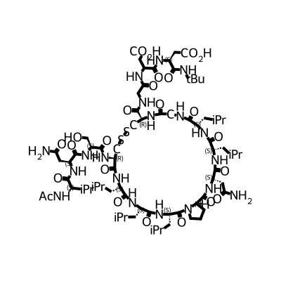 CC(=O)N[C@H](C(=O)N[C@@H](CC(N)=O)C(=O)N[C@@H](CO)C(=O)N[C@H]1CSSC[C@@H](C(=O)NCC(=O)NC(CC(=O)O)C(=O)N[C@@H](CC(=O)O)C(=O)NC(C)(C)C)NC(=O)CNC(=O)[C@H](CC(C)C)NC(=O)[C@H](CC(C)C)NC(=O)[C@H](CC(N)=O)NC(=O)[C@@H]2CCCN2C(=O)[C@H](CC(C)C)NC(=O)[C@H](CC(C)C)NC(=O)[C@H](CC(C)C)NC1=O)C(C)C